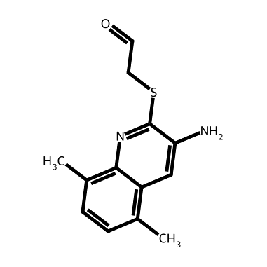 Cc1ccc(C)c2nc(SCC=O)c(N)cc12